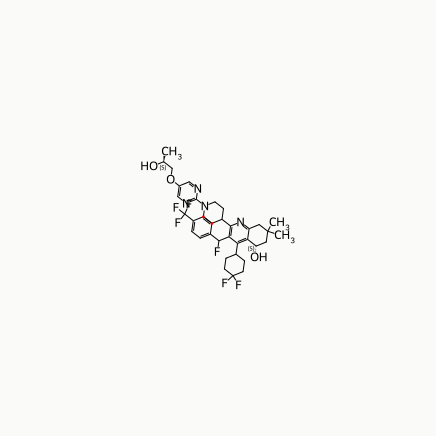 C[C@H](O)COc1cnc(N2CCC(c3nc4c(c(C5CCC(F)(F)CC5)c3C(F)c3ccc(C(F)(F)F)cc3)[C@@H](O)CC(C)(C)C4)CC2)nc1